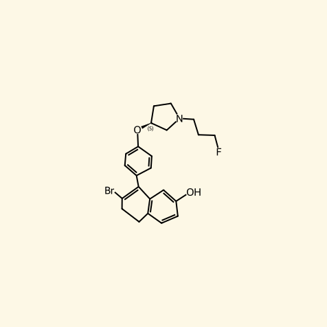 Oc1ccc2c(c1)C(c1ccc(O[C@H]3CCN(CCCF)C3)cc1)=C(Br)CC2